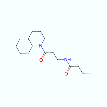 CCCC(=O)NCCC(=O)N1CCCC2CCCCC21